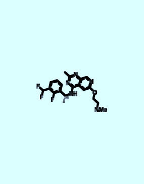 CNCCOc1cc2c(N[C@H](C)c3cccc(C(F)F)c3F)nc(C)nc2cn1